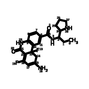 CCC(NC(=O)c1ccc2c(c1)C1(F)CC(N)=CC(F)=C1C(=O)N2)C1CCCN1